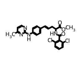 COC(=O)C(CC=Cc1ccc(Nc2nccc(C)n2)cc1)NC(=O)c1c(Cl)cccc1Cl